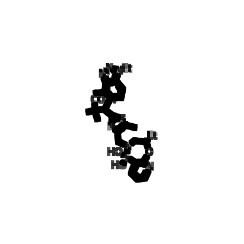 CCC1CN(Cc2nc(C(c3ccc4c(nnn4CC)c3C)C(C)(C)C(=O)O)sc2C)S(O)(O)c2cccnc2O1